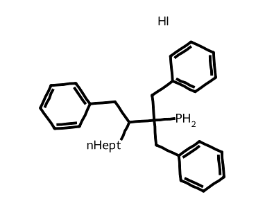 CCCCCCCC(Cc1ccccc1)C(P)(Cc1ccccc1)Cc1ccccc1.I